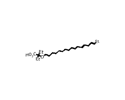 CCC=CCC=CCC=CCCCCCCCCOC(CC)(CC)C(=O)O